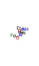 CCc1c(C)[nH]c2c1C(=O)[C@@H]1CN(CCC(=O)c3ccc(F)cc3)CC[C@H]1C2